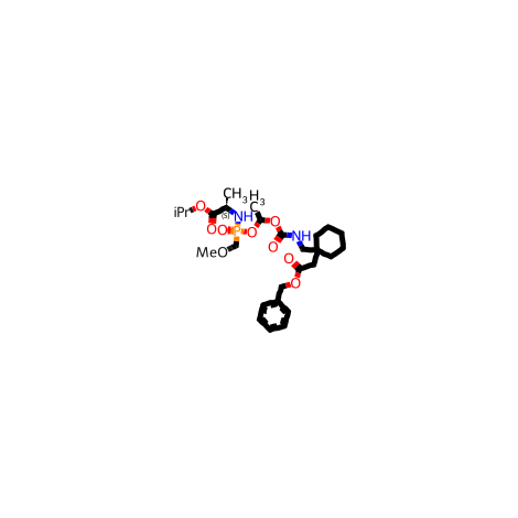 COCP(=O)(N[C@@H](C)C(=O)OC(C)C)OC(C)OC(=O)NCC1(CC(=O)OCc2ccccc2)CCCCC1